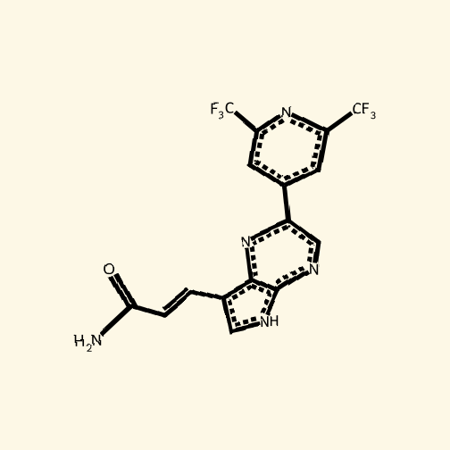 NC(=O)C=Cc1c[nH]c2ncc(-c3cc(C(F)(F)F)nc(C(F)(F)F)c3)nc12